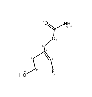 NC(=O)OCC(=CF)CCO